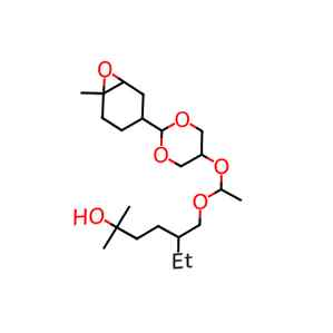 CCC(CCC(C)(C)O)COC(C)OC1COC(C2CCC3(C)OC3C2)OC1